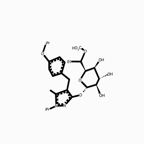 CCC(OC(=O)O)[C@@H]1O[C@@H](Oc2nn(C(C)C)c(C)c2Cc2ccc(OC(C)C)cc2)[C@H](O)[C@@H](O)[C@@H]1O